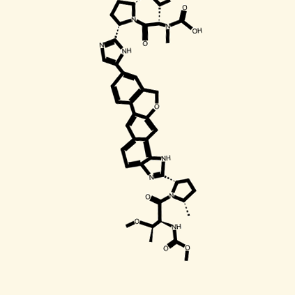 COC(=O)N[C@H](C(=O)N1[C@@H](C)CC[C@H]1c1nc2ccc3cc4c(cc3c2[nH]1)OCc1cc(-c2cnc([C@@H]3CC[C@H](C)N3C(=O)[C@H](C(C)C)N(C)C(=O)O)[nH]2)ccc1-4)[C@@H](C)OC